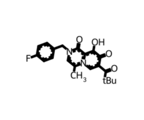 Cc1cn(Cc2ccc(F)cc2)c(=O)c2c(O)c(=O)c(C(=O)C(C)(C)C)cn12